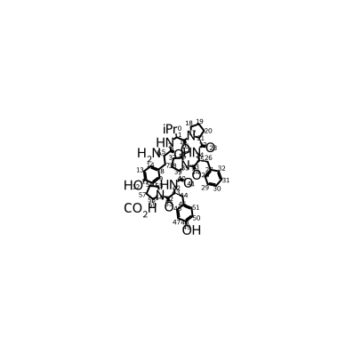 CC(C)[C@H](NC(=O)[C@@H](N)Cc1ccc(O)cc1)C(=O)N1CCC[C@H]1C(=O)N[C@@H](Cc1ccccc1)C(=O)N1CCC[C@H]1C(=O)N[C@@H](Cc1ccc(O)cc1)C(=O)N1CCC[C@H]1C(=O)O